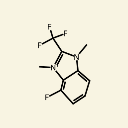 Cn1c(C(F)(F)F)[n+](C)c2c(F)cccc21